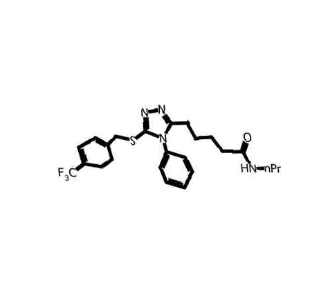 CCCNC(=O)CCCCc1nnc(SCC2=CC=C(C(F)(F)F)CC2)n1-c1ccccc1